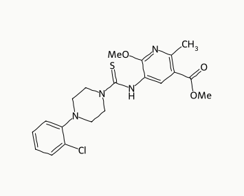 COC(=O)c1cc(NC(=S)N2CCN(c3ccccc3Cl)CC2)c(OC)nc1C